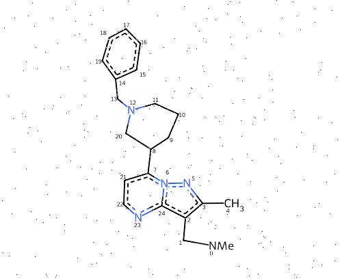 CNCc1c(C)nn2c(C3CCCN(Cc4ccccc4)C3)ccnc12